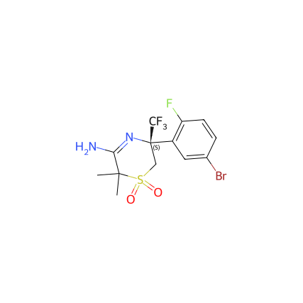 CC1(C)C(N)=N[C@@](c2cc(Br)ccc2F)(C(F)(F)F)CS1(=O)=O